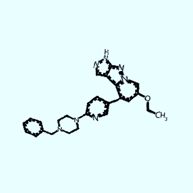 CCOc1cc(-c2ccc(N3CCN(Cc4ccccc4)CC3)nc2)c2c3cn[nH]c3nn2c1